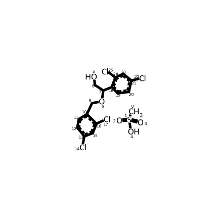 CS(=O)(=O)O.OCC(OCc1ccc(Cl)cc1Cl)c1ccc(Cl)cc1Cl